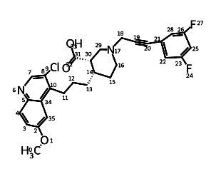 COc1ccc2ncc(Cl)c(CCC[C@H]3CCN(CC#Cc4cc(F)cc(F)c4)C[C@H]3C(=O)O)c2c1